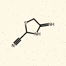 N#CC1NC(=N)CS1